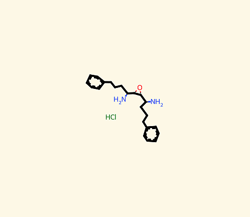 Cl.N[C@@H](CCCc1ccccc1)[C@@H]1O[C@@H]1[C@@H](N)CCCc1ccccc1